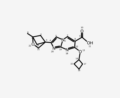 CC12CC(c3cn4cc(C(=O)O)c(OC5CCC5)nc4n3)(CO1)C2